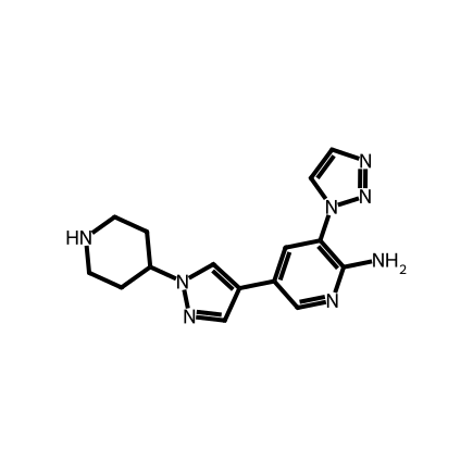 Nc1ncc(-c2cnn(C3CCNCC3)c2)cc1-n1ccnn1